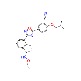 CCONC1CCc2c(-c3noc(-c4ccc(OCC(C)C)c(C#N)c4)n3)cccc21